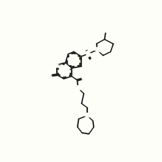 CC1CCCN(S(=O)(=O)c2ccc3[nH]c(=O)cc(C(=O)NCCCN4CCCCCC4)c3c2)C1